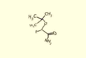 CC(C)(C)OC(F)C(N)=O